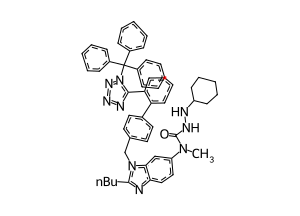 CCCCc1nc2ccc(N(C)C(=O)NNC3CCCCC3)cc2n1Cc1ccc(-c2ccccc2-c2nnnn2C(c2ccccc2)(c2ccccc2)c2ccccc2)cc1